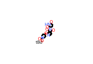 CC(C)(C)OC(=O)N1CCC(Oc2nccc3c2C(=O)N(C2CCC(=O)NC2=O)C3=O)CC1